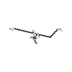 CCCCCCCC/C=C\CCCCCCCC(=O)O[C@H](COC(=O)CCCCCCCCCCCCCCC)COP(=O)(O)OCCBr